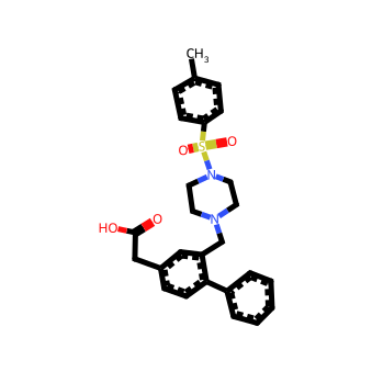 Cc1ccc(S(=O)(=O)N2CCN(Cc3cc(CC(=O)O)ccc3-c3ccccc3)CC2)cc1